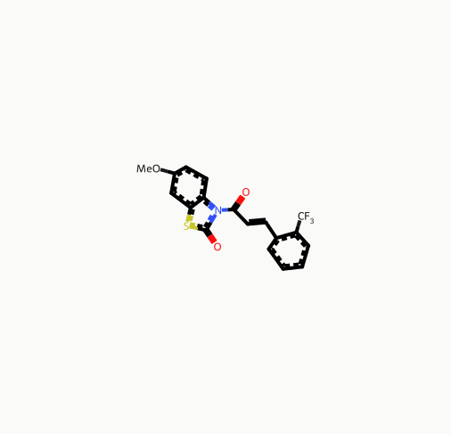 COc1ccc2c(c1)sc(=O)n2C(=O)/C=C/c1ccccc1C(F)(F)F